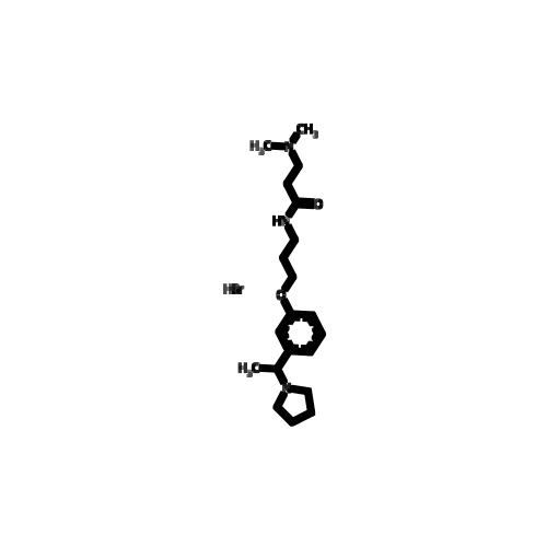 Br.CC(c1cccc(OCCCNC(=O)CCN(C)C)c1)N1CCCC1